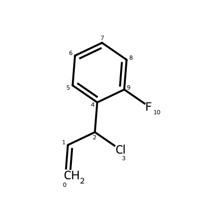 C=CC(Cl)c1ccccc1F